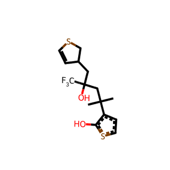 CC(C)(CC(O)(CC1C=CSC1)C(F)(F)F)c1ccsc1O